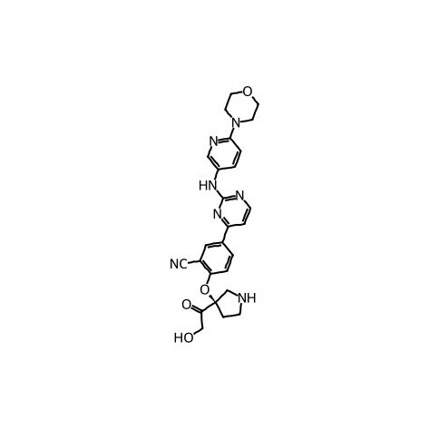 N#Cc1cc(-c2ccnc(Nc3ccc(N4CCOCC4)nc3)n2)ccc1O[C@]1(C(=O)CO)CCNC1